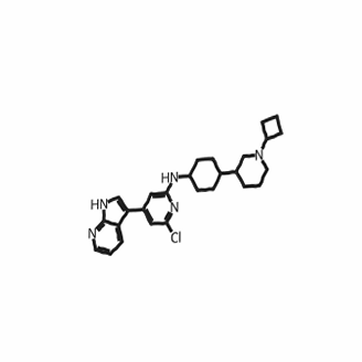 Clc1cc(-c2c[nH]c3ncccc23)cc(NC2CCC(C3CCCN(C4CCC4)C3)CC2)n1